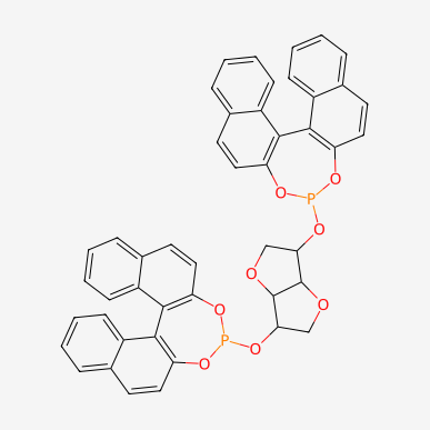 c1ccc2c(c1)ccc1op(OC3COC4C(Op5oc6ccc7ccccc7c6c6c(ccc7ccccc76)o5)COC34)oc3ccc4ccccc4c3c12